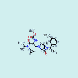 CC(C#N)N(C(=O)C(CN1C[C@@H]2CC1C(=O)N2C(C)c1cccc(C(=O)O)c1)NC(=O)OC(C)(C)C)C1CC1